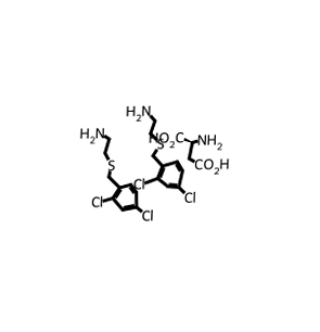 NCCSCc1ccc(Cl)cc1Cl.NCCSCc1ccc(Cl)cc1Cl.N[C@@H](CC(=O)O)C(=O)O